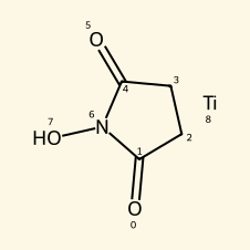 O=C1CCC(=O)N1O.[Ti]